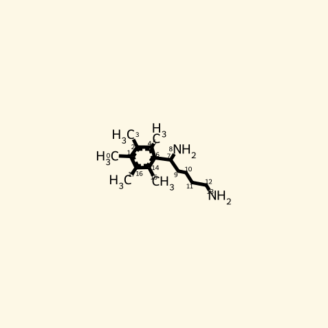 Cc1c(C)c(C)c(C(N)CCCCN)c(C)c1C